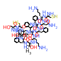 C[C@@H](O)[C@H](NC(=O)[C@H](CCCCN)NC(=O)[C@@H](Cc1c[nH]c2ccccc12)NC(=O)[C@H](Cc1ccccc1)NC(=O)[C@H](Cc1ccccc1)NC(=O)[C@H](CC(N)=O)NC(=O)[C@H](CCCCN)NC(=O)[C@@H](N)CS)C(=O)N[C@@H](Cc1ccccc1)C(=O)N[C@H](C(=O)C(CNCC(=O)O)NC(=O)[C@H](CS)NC(=O)[C@@H](N)CO)[C@@H](C)O